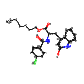 CCCCCCOC(=O)C(Cc1cc(=O)[nH]c2ccccc12)NC(=O)c1ccc(Cl)cc1